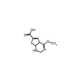 COC1=NCNC2SC(C(=O)O)=CC12